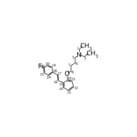 CCN(CC)CCCCOc1ccccc1C=Cc1ccc(F)cc1